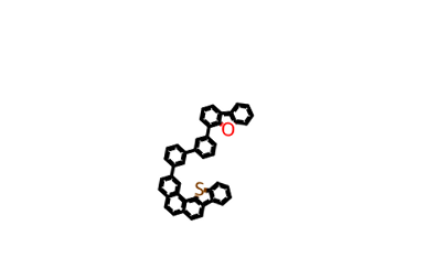 c1cc(-c2cccc(-c3cccc4c3oc3ccccc34)c2)cc(-c2ccc3ccc4ccc5c6ccccc6sc5c4c3c2)c1